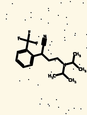 CC(C)N(CCC(C#N)c1ccccc1C(F)(F)F)C(C)C